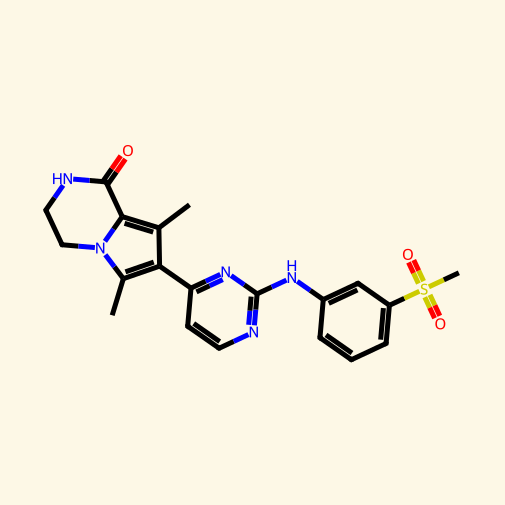 Cc1c(-c2ccnc(Nc3cccc(S(C)(=O)=O)c3)n2)c(C)n2c1C(=O)NCC2